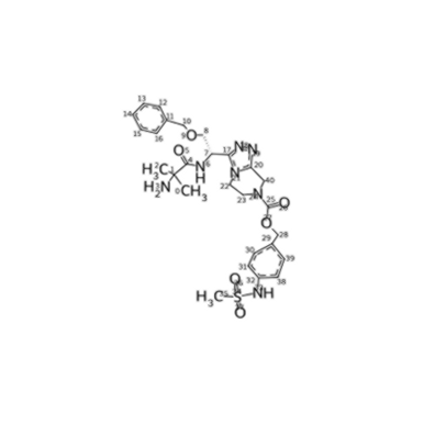 CC(C)(N)C(=O)N[C@H](COCc1ccccc1)c1nnc2n1CCN(C(=O)OCc1ccc(NS(C)(=O)=O)cc1)C2